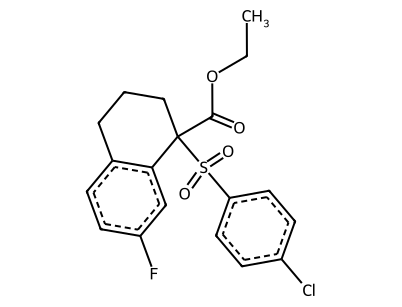 CCOC(=O)C1(S(=O)(=O)c2ccc(Cl)cc2)CCCc2ccc(F)cc21